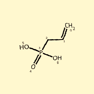 C=CCP(=O)(O)O